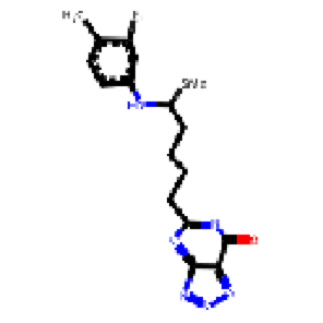 CCc1cc(NC(CCCCC2=NC(=O)C3=NN=NC3=N2)SC)ccc1C